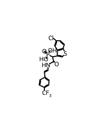 O=C(N/C=C/c1ccc(C(F)(F)F)cc1)C(c1csc2ccc(Cl)cc12)P(=O)(O)O